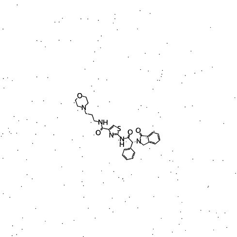 O=C(NCCCN1CCOCC1)c1csc(NC(=O)[C@@H](c2ccccc2)N2Cc3ccccc3C2=O)n1